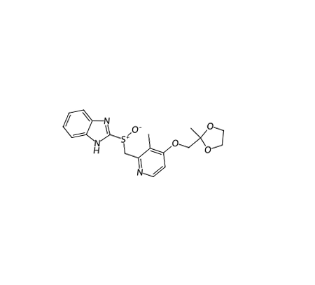 Cc1c(OCC2(C)OCCO2)ccnc1C[S+]([O-])c1nc2ccccc2[nH]1